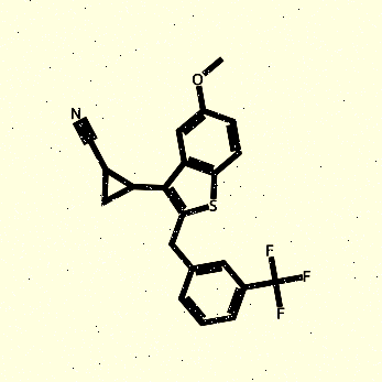 COc1ccc2sc(Cc3cccc(C(F)(F)F)c3)c(C3CC3C#N)c2c1